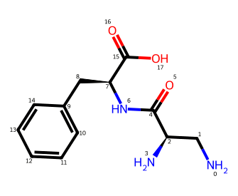 NC[C@@H](N)C(=O)N[C@@H](Cc1ccccc1)C(=O)O